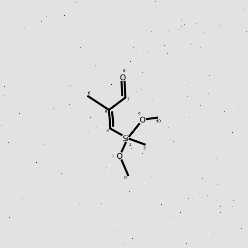 CO[Si](C)(C=C(C)C=O)OC